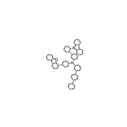 c1ccc(-c2ccc(-c3cccc(N(c4ccc(-c5cccc6c5oc5ccccc56)cc4)c4cccc(-c5ccccc5-n5c6ccccc6c6ccccc65)c4)c3)cc2)cc1